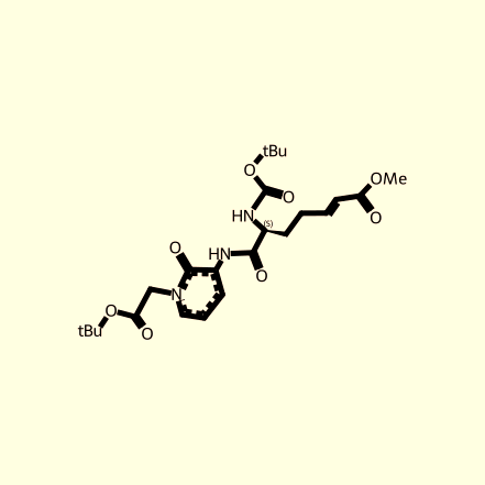 COC(=O)C=CCC[C@H](NC(=O)OC(C)(C)C)C(=O)Nc1cccn(CC(=O)OC(C)(C)C)c1=O